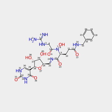 N=C(N)NCC(=O)N(O)[C@@H](CCC(=O)NCc1ccccc1)C(=O)/N=C/[C@H]1O[C@@H](c2c[nH]c(=O)[nH]c2=O)[C@H](O)[C@@H]1O